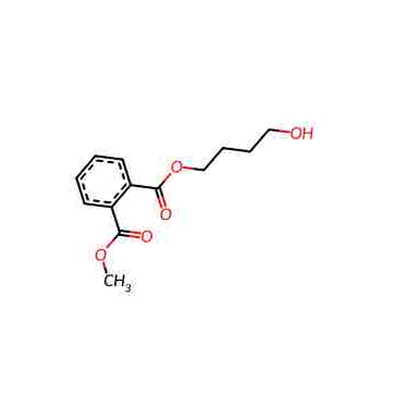 COC(=O)c1ccccc1C(=O)OCCCCO